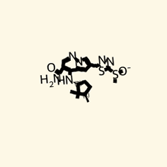 C[C@@H]1CC[C@@H](Nc2c(C(N)=O)cnn3cc(-c4nnc([S+](C)[O-])s4)cc23)C1(C)C